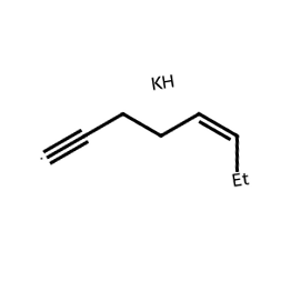 [C]#CCC/C=C\CC.[KH]